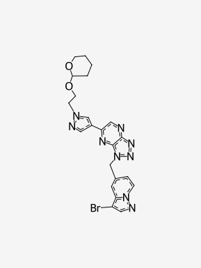 Brc1cnn2ccc(Cn3nnc4ncc(-c5cnn(CCOC6CCCCO6)c5)nc43)cc12